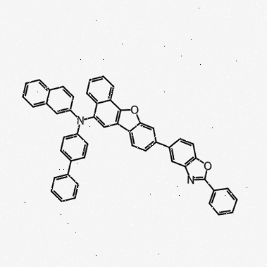 c1ccc(-c2ccc(N(c3ccc4ccccc4c3)c3cc4c5ccc(-c6ccc7oc(-c8ccccc8)nc7c6)cc5oc4c4ccccc34)cc2)cc1